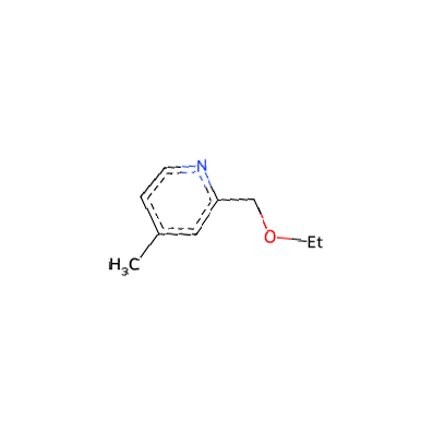 CCOCc1cc(C)ccn1